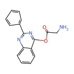 NCC(=O)Oc1nc(-c2ccccc2)nc2ccccc12